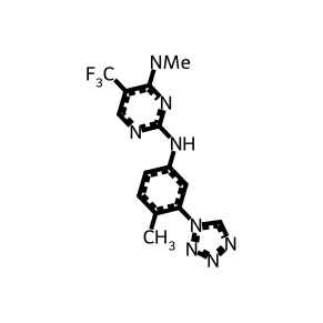 CNc1nc(Nc2ccc(C)c(-n3cnnn3)c2)ncc1C(F)(F)F